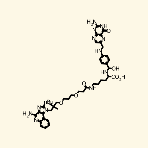 CCCCc1nc2c(N)nc3ccccc3c2n1CC(C)(C)COCCCOCCC(=O)NCCCCC(NC(O)c1ccc(NCc2cnc3nc(N)[nH]c(=O)c3n2)cc1)C(=O)O